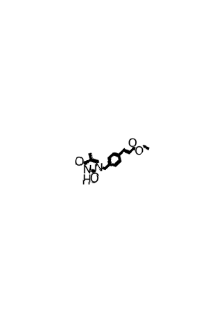 CCOC(=O)C=Cc1ccc(Cn2cc(C)c(=O)[nH]c2=O)cc1